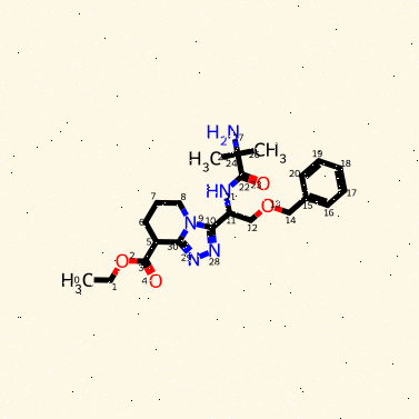 CCOC(=O)C1CCCn2c(C(COCc3ccccc3)NC(=O)C(C)(C)N)nnc21